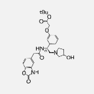 CC(C)(C)OC(=O)COc1cccc([C@@H](CN2CCC(O)C2)NC(=O)Cc2ccc3oc(=O)[nH]c3c2)c1